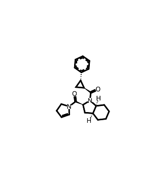 O=C([C@@H]1C[C@@H]2CCCC[C@@H]2N1C(=O)[C@H]1C[C@@H]1c1ccccc1)N1C=CCC1